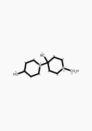 N#CC1(N2CCC(O)CC2)CCN(C(=O)O)CC1